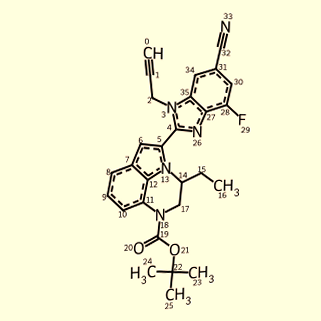 C#CCn1c(-c2cc3cccc4c3n2C(CC)CN4C(=O)OC(C)(C)C)nc2c(F)cc(C#N)cc21